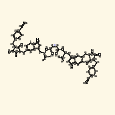 CN(C)C(Cc1c[nH]c2ccc(CC3NC(=O)N(Cc4ccc(C#N)cc4)C3=O)cc12)OC(=O)/C=C\C(=O)OC(Cc1c[nH]c2ccc(CC3NC(=O)N(Cc4ccc(C#N)cc4)C3=O)cc12)N(C)C